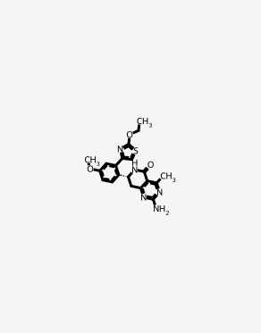 CCOc1nc(-c2cc(OC)ccc2[C@H]2Cc3nc(N)nc(C)c3C(=O)N2)cs1